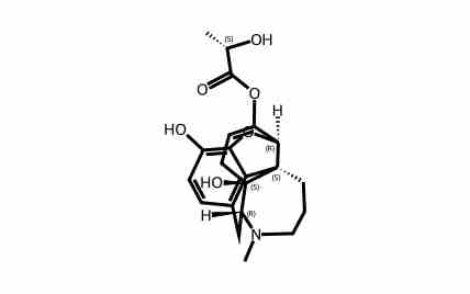 C[C@H](O)C(=O)OC1=CC[C@@]2(O)[C@H]3Cc4ccc(O)c5c4[C@@]2(CCCN3C)[C@H]1O5